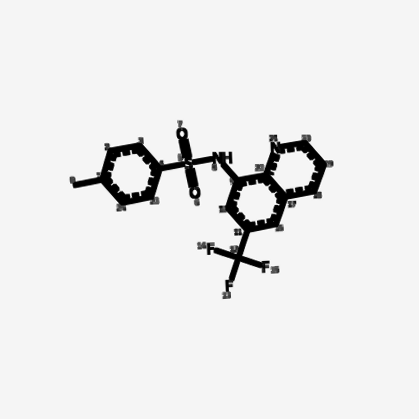 Cc1ccc(S(=O)(=O)Nc2cc(C(F)(F)F)cc3cccnc23)cc1